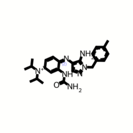 Cc1ccc(Cn2ncc(/N=C3/C=CC(=[N+](C(C)C)C(C)C)C=C3NC(N)=O)c2N)cc1